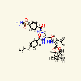 CCCCc1ccc(C(=O)N[C@@H](CNC(=O)c2ccc(S(N)(=O)=O)cc2)C(=O)NC(CC(C)C)B2O[C@@H]3C[C@@H]4C[C@@H](C4(C)C)[C@]3(C)O2)cc1